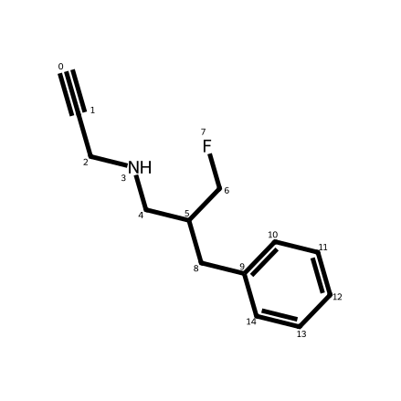 C#CCNCC(CF)Cc1ccccc1